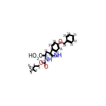 C[Si](C)(C)CCOC(=O)NC(Cc1c[nH]c2cc(OCc3ccccc3)ccc12)C(=O)O